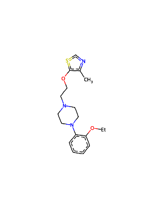 CCOc1ccccc1N1CCN(CCOc2scnc2C)CC1